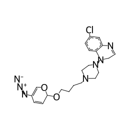 [N-]=[N+]=NC1=COC(OCCCCN2CCN(N3CC=Nc4cc(Cl)ccc43)CC2)C=C1